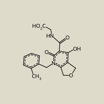 Cc1ccccc1Cn1c2c(c(O)c(C(=O)NCC(=O)O)c1=O)COC2